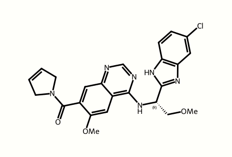 COC[C@H](Nc1ncnc2cc(C(=O)N3CC=CC3)c(OC)cc12)c1nc2cc(Cl)ccc2[nH]1